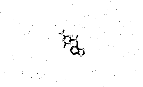 CC1N=C(N(C)C)NC(N(C)Cc2cccc3c2OCO3)=N1